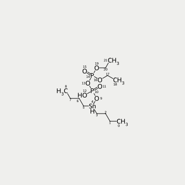 CCC[CH2][SnH]([CH2]CCC)[O]P(=O)(O)OP(=O)(OCC)OCC